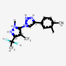 Cc1cc(-c2cn(-c3c(C(F)(F)F)c(C(F)(F)C(F)(F)F)nn3C)nn2)ccc1C#N